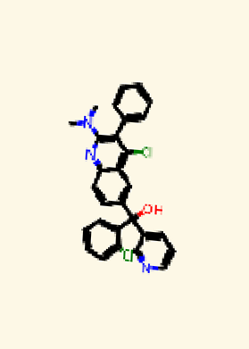 CN(C)c1nc2ccc(C(O)(c3cccnc3)c3ccccc3Cl)cc2c(Cl)c1-c1ccccc1